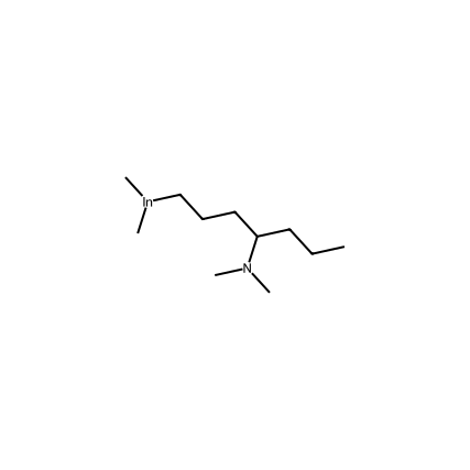 CCCC(CC[CH2][In]([CH3])[CH3])N(C)C